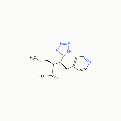 CCC[C@H](C(C)=O)[C@H](Cc1ccncc1)c1nnn[nH]1